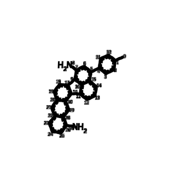 Cc1ccc(-c2cc(N)c3c4c(cccc24)-c2c-3ccc3cc4cccc(N)c4cc23)cc1